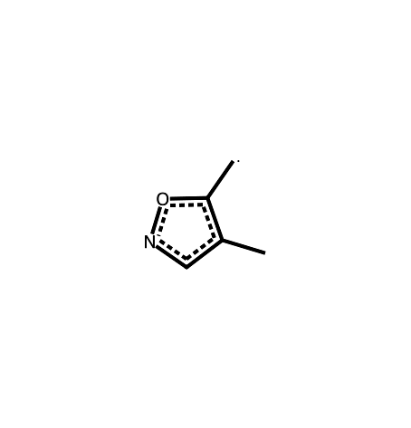 [CH2]c1oncc1C